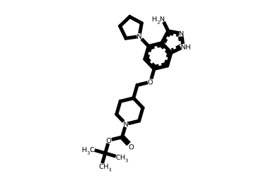 CC(C)(C)OC(=O)N1CCC(COc2cc(N3CCCC3)c3c(N)n[nH]c3c2)CC1